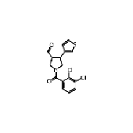 O=CC1CN(C(=O)c2cccc(Cl)c2Cl)CC1c1ccsc1